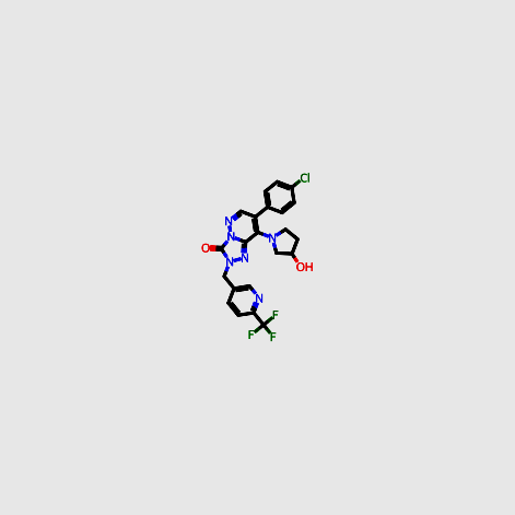 O=c1n(Cc2ccc(C(F)(F)F)nc2)nc2c(N3CCC(O)C3)c(-c3ccc(Cl)cc3)cnn12